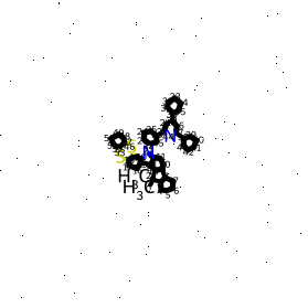 CC1(C)c2ccccc2-c2ccc3c(c21)c1ccc2c(c1n3-c1cccc(-c3cc(-c4ccccc4)cc(-c4ccccc4)n3)c1)Sc1ccccc1S2